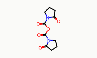 O=C1CCCN1C(=O)OC(=O)N1CCCC1=O